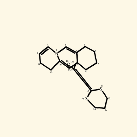 C1=CN2C=C3CCCCC34CC(=C3SCCCS3)OC4=C2CC1